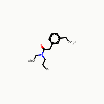 COCN(CCC(C)C)C(=O)Cc1cccc(CC(=O)O)c1